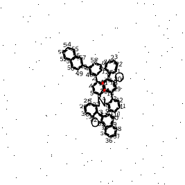 c1cc(-c2ccc(N(c3ccccc3-c3ccc4c(c3)oc3ccccc34)c3cccc4oc5c6ccccc6ccc5c34)cc2)cc(-c2ccc3ccccc3c2)c1